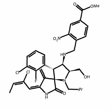 C=C1/C(=C\C(Cl)=C/C)NC(=O)[C@@]12[C@H](c1cccc(Cl)c1F)[C@@H](NCc1ccc(C(=O)OC)cc1[N+](=O)[O-])[C@@H](CO)N2CC(C)C